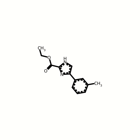 CCOC(=O)c1nc(-c2cccc(C)c2)c[nH]1